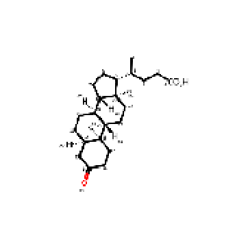 CC(CCC(=O)O)[C@H]1CC[C@H]2[C@@H]3CC[C@@H]4CC(=O)CC[C@]4(C)[C@H]3CC[C@]12C